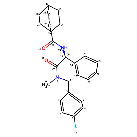 CN(Cc1ccc(F)cc1)C(=O)[C@@H](NC(=O)C12CCC(CC1)CC2)c1ccccc1